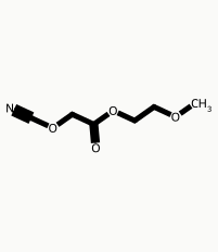 COCCOC(=O)COC#N